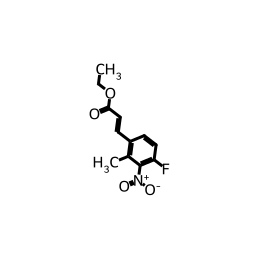 CCOC(=O)/C=C/c1ccc(F)c([N+](=O)[O-])c1C